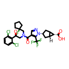 O=C(CN(CC1(F)CCCC1)C(=O)c1cnn([C@@H]2CC3[C@@H](C2)[C@H]3C(=O)O)c1C(F)(F)F)c1c(Cl)cccc1Cl